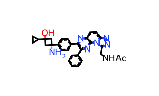 CC(=O)NCc1nnc2ccc3nc(-c4ccc([C@]5(N)C[C@@](O)(C6CC6)C5)cc4)c(-c4ccccc4)nc3n12